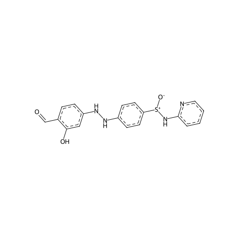 O=Cc1ccc(NNc2ccc([S+]([O-])Nc3ccccn3)cc2)cc1O